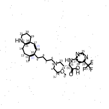 CO[C@H](C)CN(CCCCC1=C(\C)CCC2=C(/C=C\1)CCCN2)CC[C@H](Nc1cc(C(F)(F)F)ncn1)C(=O)O